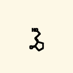 O=C1CCCC1=CCO